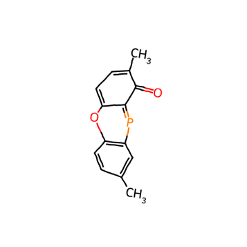 Cc1ccc2oc3ccc(C)c(=O)c-3pc2c1